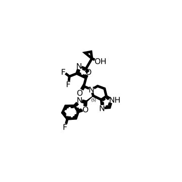 O=C(c1oc(C2(O)CC2)nc1C(F)F)N1CCc2[nH]cnc2[C@H]1c1nc2ccc(F)cc2o1